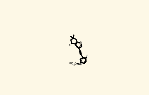 CC1(C)CC(=O)c2cc(C#Cc3cc(NC(=O)O)ccc3F)cnc2C1